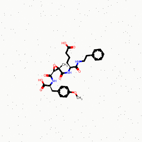 COc1ccc(C[C@H](NC(=O)[C@H]2O[C@]2(C)C(=O)N[C@@H](CCCC(=O)O)C(=O)NCCc2ccccc2)C(=O)O)cc1